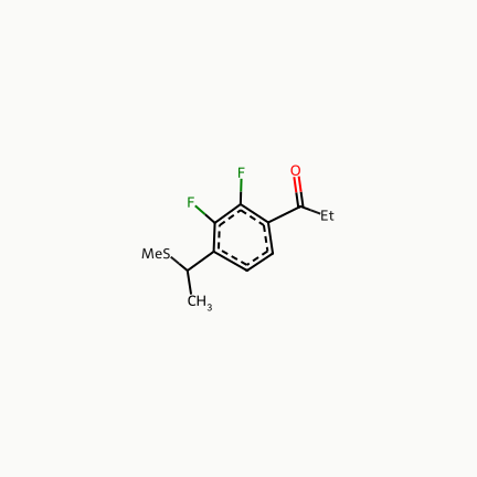 CCC(=O)c1ccc(C(C)SC)c(F)c1F